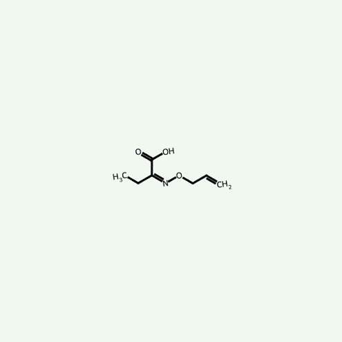 C=CCO/N=C(/CC)C(=O)O